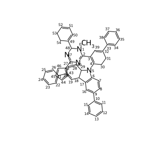 CN1C(C2=C(N3c4ccc(-c5ccccc5)cc4C4C=C(c5ccccc5)C=CC43)CCC(c3ccccc3)=C2)=NC(C2=C=CC=C2)=NC1C1=CC=CCC1